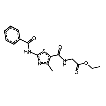 CCOC(=O)CNC(=O)c1sc(NC(=O)c2ccccc2)nc1C